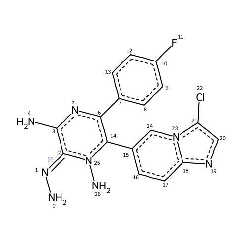 N/N=c1/c(N)nc(-c2ccc(F)cc2)c(-c2ccc3ncc(Cl)n3c2)n1N